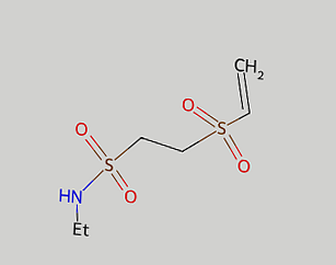 C=CS(=O)(=O)CCS(=O)(=O)NCC